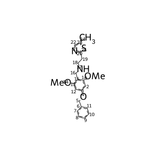 COc1cc(OCc2ccccc2)cc(OC)c1CNCCc1ncc(C)s1